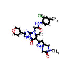 CCc1c(-c2cc3n(n2)CC(=O)N(C)C3)c(=O)n2nc(C3=CCOCC3)nc2n1CC(=O)Nc1ccc(C(F)(F)F)cc1Cl